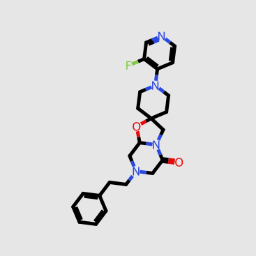 O=C1CN(CCc2ccccc2)CC2OC3(CCN(c4ccncc4F)CC3)CN12